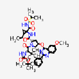 C=CC1CC1(NC(=O)[C@@H]1C[C@@H](Oc2nc(-c3ccccc3)nc3ccc(OC)cc23)CN1C(=O)[C@@H](NC(=O)OC(C)(C)C)C(C)(C)C)C(=O)NS(=O)(=O)C(C)C